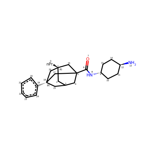 CCC[C@]12CC3CC(C(=O)N[C@H]4CC[C@H](N)CC4)(C1)C[C@@](c1ccccc1)(C3)C2